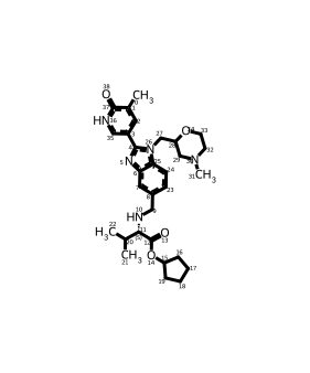 Cc1cc(-c2nc3cc(CN[C@H](C(=O)OC4CCCC4)C(C)C)ccc3n2CC2CN(C)CCO2)c[nH]c1=O